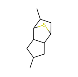 CC1CC2C3CC(C)C(S3)C2C1